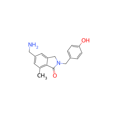 Cc1cc(CN)cc2c1C(=O)N(Cc1ccc(O)cc1)C2